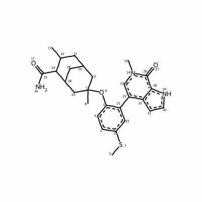 CSc1ccc(OC2(C)CC3CC(C)C(C(N)=O)C(C3)C2)c(-c2cn(C)c(=O)c3[nH]ccc23)c1